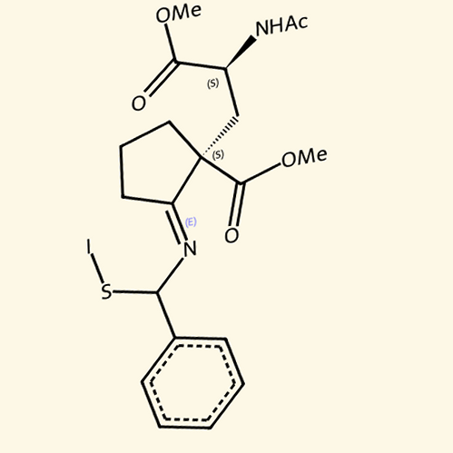 COC(=O)[C@H](C[C@@]1(C(=O)OC)CCC/C1=N\C(SI)c1ccccc1)NC(C)=O